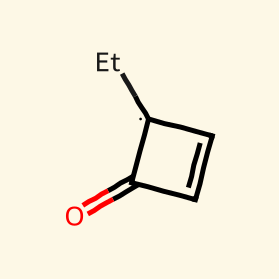 CC[C]1C=CC1=O